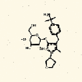 Cc1c(Cc2ccc(C(C)(C)N)cc2)c(O[C@@H]2O[C@H](CO)[C@@H](O)C(O)[C@H]2O)nn1C1CCOC1